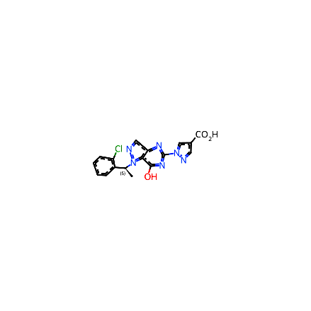 C[C@@H](c1ccccc1Cl)n1ncc2nc(-n3cc(C(=O)O)cn3)nc(O)c21